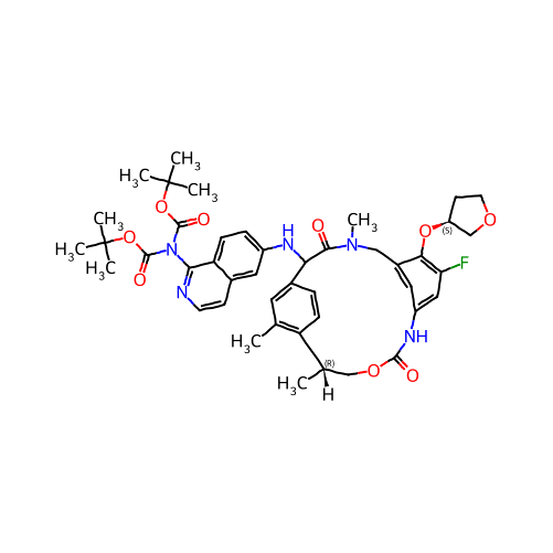 Cc1cc2ccc1[C@@H](C)COC(=O)Nc1cc(F)c(O[C@H]3CCOC3)c(c1)CN(C)C(=O)C2Nc1ccc2c(N(C(=O)OC(C)(C)C)C(=O)OC(C)(C)C)nccc2c1